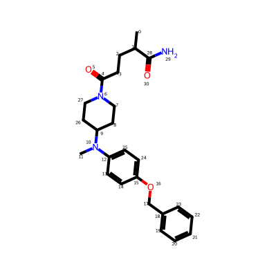 CC(C[CH]C(=O)N1CCC(N(C)c2ccc(OCc3ccccc3)cc2)CC1)C(N)=O